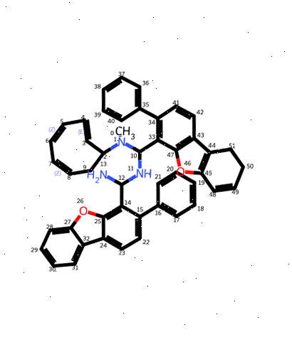 CN(C1/C=C/C=C\C=C/C1)C(NC(N)c1c(-c2ccccc2)ccc2c1oc1ccccc12)c1c(-c2ccccc2)ccc2c3c(oc12)C=CCC3